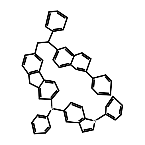 c1ccc(-c2ccc3cc(C(Cc4ccc5c(c4)-c4ccc(N(c6ccccc6)c6ccc7c(ccn7-c7ccccc7)c6)cc4C5)c4ccccc4)ccc3c2)cc1